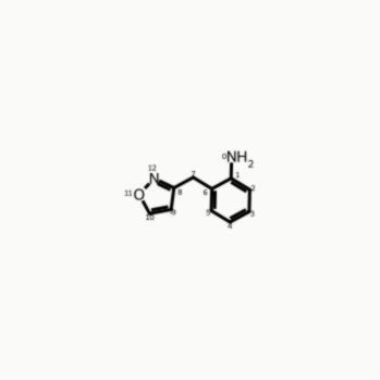 Nc1ccccc1Cc1[c]con1